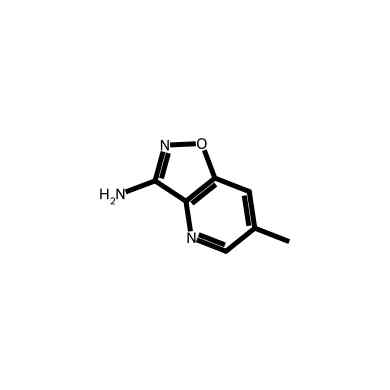 Cc1cnc2c(N)noc2c1